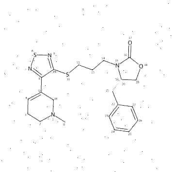 CN1CCC=C(c2nsnc2SCCCN2C(=O)OC[C@@H]2Cc2ccccc2)C1